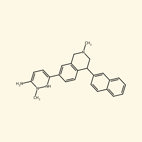 CN1Cc2cc(C3=CC=C(N)N(C)N3)ccc2C(c2ccc3ccccc3c2)C1